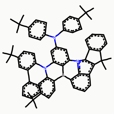 CC(C)(C)c1ccc(N(c2ccc(C(C)(C)C)cc2)c2cc3c4c(c2)-n2c5c(c6cccc(c62)B4c2ccc(C(C)(C)C)cc2N3c2ccc(C(C)(C)C)cc2-c2ccccc2)C(C)(C)c2ccccc2-5)cc1